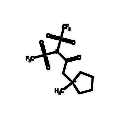 C[N+]1(CC(=O)N(S(=O)(=O)C(F)(F)F)S(=O)(=O)C(F)(F)F)CCCC1